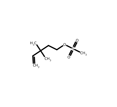 C=CC(C)(C)CCOS(C)(=O)=O